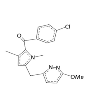 COc1ccc(Cc2cc(C)c(C(=O)c3ccc(Cl)cc3)n2C)nn1